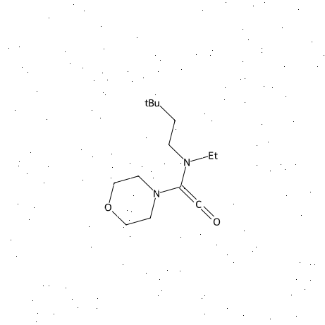 CCN(CCC(C)(C)C)C(=C=O)N1CCOCC1